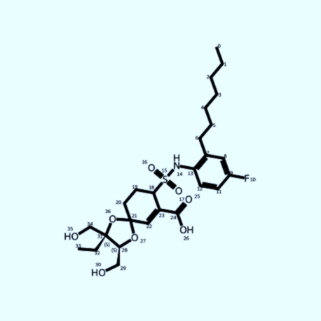 CCCCCCCc1cc(F)ccc1NS(=O)(=O)C1CCC2(C=C1C(=O)O)O[C@@H](CO)[C@](CC)(CO)O2